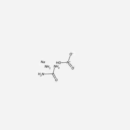 N.NC(N)=O.O=[N+]([O-])O.[Na]